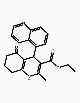 CCOC(=O)C1=C(C)NC2=C(C(=O)CCC2)C1c1cccc2ncccc12